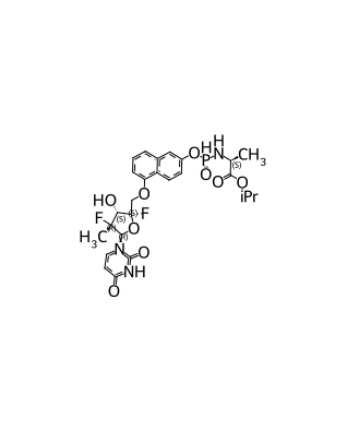 CC(C)OC(=O)[C@H](C)N[PH](=O)Oc1ccc2c(OC[C@@]3(F)O[C@@H](n4ccc(=O)[nH]c4=O)[C@](C)(F)[C@@H]3O)cccc2c1